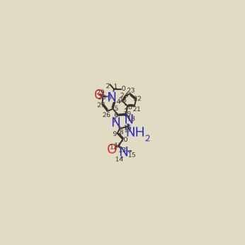 CC(C)n1cc(-c2nc(/C=C/C(=O)N(C)C)c(N)nc2-c2ccccc2)ccc1=O